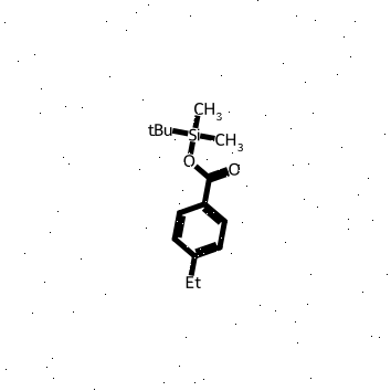 CCc1ccc(C(=O)O[Si](C)(C)C(C)(C)C)cc1